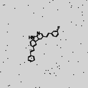 Fc1cccc(/C=C/c2cnc3[nH]c4ccc(C=Cc5ccccc5)cc4c3c2)c1